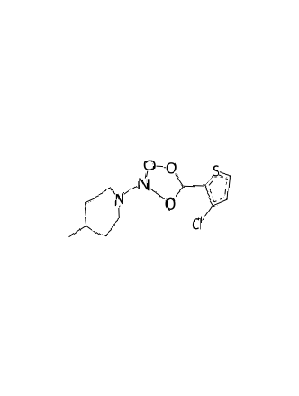 CC1CCN(N2OOC(c3sccc3Cl)O2)CC1